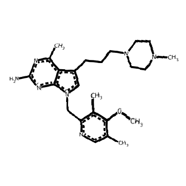 COc1c(C)cnc(Cn2cc(CCCN3CCN(C)CC3)c3c(C)nc(N)nc32)c1C